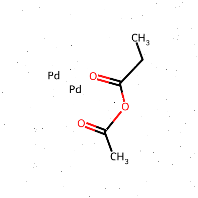 CCC(=O)OC(C)=O.[Pd].[Pd]